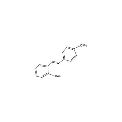 COc1ccc(C=Cc2ccccc2OC)cc1